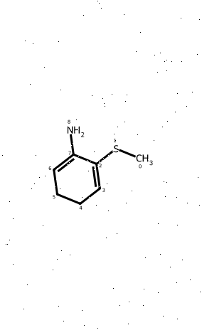 CSC1=CCCC=C1N